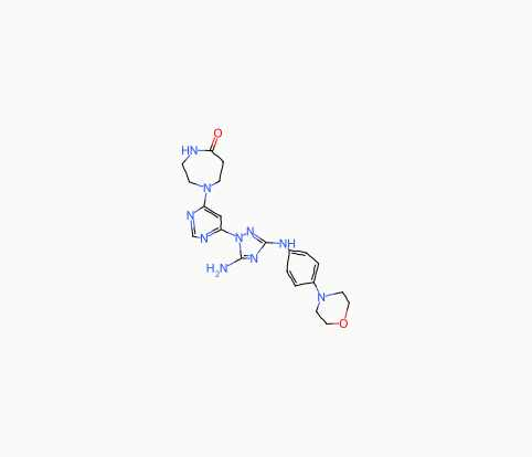 Nc1nc(Nc2ccc(N3CCOCC3)cc2)nn1-c1cc(N2CCNC(=O)CC2)ncn1